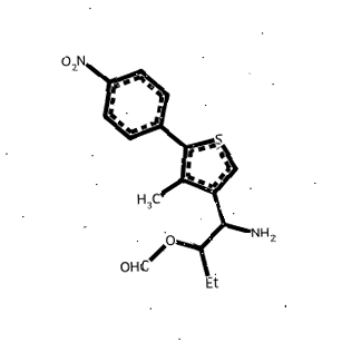 CCC(OC=O)C(N)c1csc(-c2ccc([N+](=O)[O-])cc2)c1C